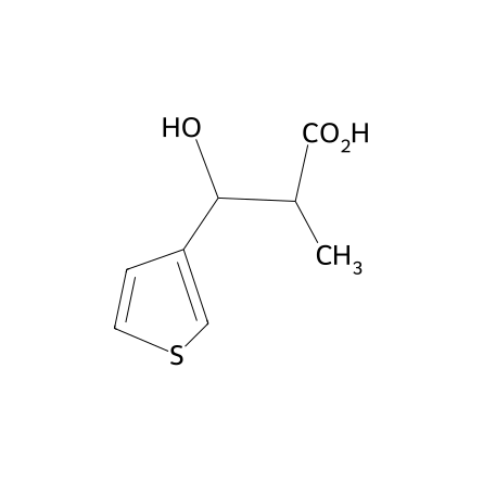 CC(C(=O)O)C(O)c1ccsc1